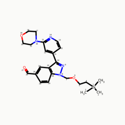 C[Si](C)(C)CCOCn1nc(-c2ccnc(N3CCOCC3)c2)c2cc(C=O)ccc21